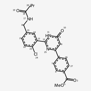 COC(=O)c1ccc(-c2cc(=O)[nH]c(-c3cc(CNC(=O)C(C)C)ccc3Cl)n2)cc1